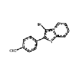 O=Cc1ccc(-c2nc3ccccn3c2Br)cc1